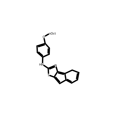 CCCCCCCCOc1ccc(Nc2nc3c(s2)=CC2=CC=CCC=32)cc1